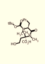 CC(C)C[C@@H](C(=O)N(C)[C@](C)(CCO)C(=O)O)N(C)C(=O)OC(C)(C)C